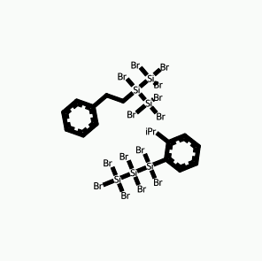 Br[Si](Br)(Br)[Si](Br)(CCc1ccccc1)[Si](Br)(Br)Br.CC(C)c1ccccc1[Si](Br)(Br)[Si](Br)(Br)[Si](Br)(Br)Br